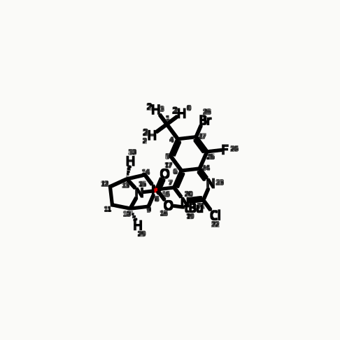 [2H]C([2H])([2H])c1cc2c(N3C[C@H]4CC[C@@H](C3)N4C(=O)OC(C)(C)C)nc(Cl)nc2c(F)c1Br